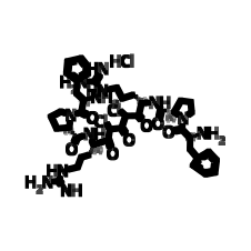 Cl.N=C(N)NCCC[C@H](NC(=O)[C@@H]1CCCN1C(=O)[C@H](N)Cc1ccccc1)C(=O)C(Cl)C(=O)C(Cl)C(=O)[C@H](CCCNC(=N)N)NC(=O)[C@@H]1CCCN1C(=O)[C@H](N)Cc1ccccc1